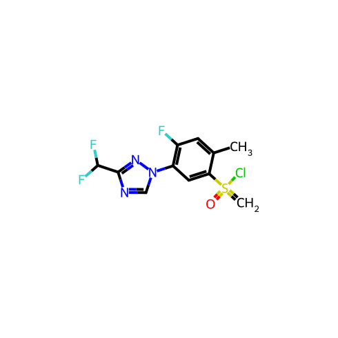 C=S(=O)(Cl)c1cc(-n2cnc(C(F)F)n2)c(F)cc1C